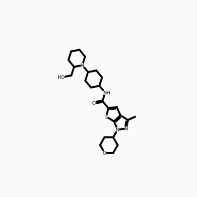 Cc1nn(C2CCOCC2)c2sc(C(=O)NC3CCC(N4CCCCC4CO)CC3)cc12